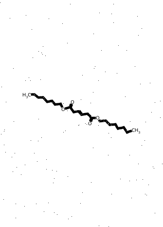 CCCCCCCCOC(=O)CC=CCC(=O)OCCCCCCCC